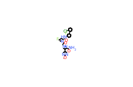 COc1ncc(-c2cn(CC(=O)N3C[C@H](F)C[C@H]3C(=O)Nc3cccc(-c4ccccc4Cl)c3F)nc2C(N)=O)cn1